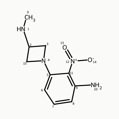 CNC1CN(c2cccc(N)c2[N+](=O)[O-])C1